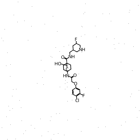 O=C(COc1ccc(Cl)c(F)c1)NC12CCC(C(=O)NCC3CNCC(F)C3)(CC1)C(O)C2